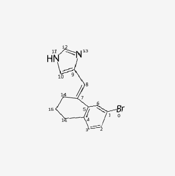 Brc1ccc2c(c1)C(=Cc1c[nH]cn1)CCC2